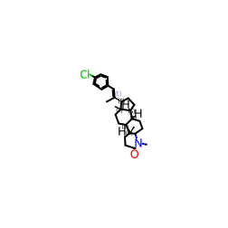 C/C(=C\c1ccc(Cl)cc1)[C@H]1CC[C@H]2[C@@H]3CCC4N(C)C(=O)CC[C@]4(C)[C@H]3CC[C@]12C